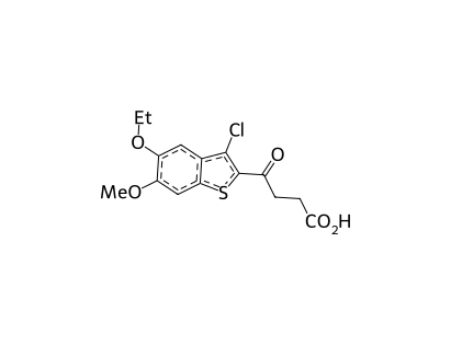 CCOc1cc2c(Cl)c(C(=O)CCC(=O)O)sc2cc1OC